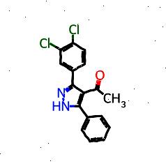 CC(=O)c1c(-c2ccc(Cl)c(Cl)c2)n[nH]c1-c1ccccc1